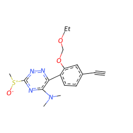 C#Cc1ccc(-c2nnc([S+](C)[O-])nc2N(C)C)c(OCOCC)c1